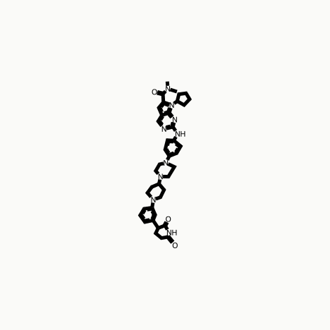 CN(C)C(=O)c1cc2cnc(Nc3ccc(N4CCN(C5CCN(c6cccc(C7CCC(=O)NC7=O)c6)CC5)CC4)cc3)nc2n1C1CCCC1